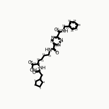 O=C(CC1CCCC1)NC(CCCCNC(=O)c1nnc(C(=O)NCc2ccccc2)nn1)C(=O)O